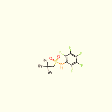 CC(C)C(CS(=O)(=O)Pc1c(F)c(F)c(F)c(F)c1F)(C(C)C)C(C)C